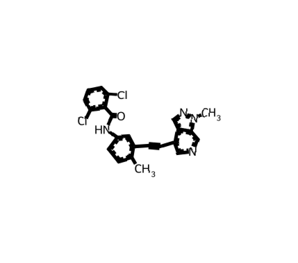 Cc1ccc(NC(=O)c2c(Cl)cccc2Cl)cc1C#Cc1cncc2c1cnn2C